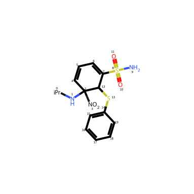 CC(C)NC1([N+](=O)[O-])C=CC=C(S(N)(=O)=O)C1Sc1ccccc1